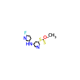 CCOC(=S)Sc1cncc(Nc2ccc(F)nc2)c1